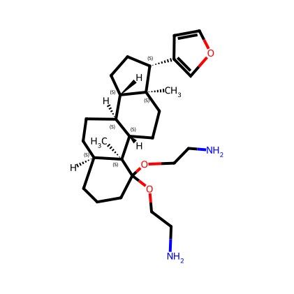 C[C@]12CC[C@H]3[C@@H](CC[C@@H]4CCCC(OCCN)(OCCN)[C@@]43C)[C@@H]1CC[C@@H]2c1ccoc1